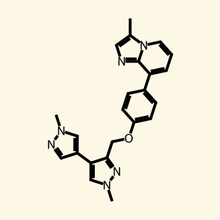 Cc1cnc2c(-c3ccc(OCc4nn(C)cc4-c4cnn(C)c4)cc3)cccn12